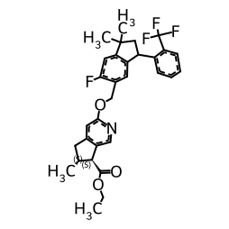 CCOC(=O)[C@@H]1c2cnc(OCc3cc4c(cc3F)C(C)(C)CC4c3ccccc3C(F)(F)F)cc2C[C@@H]1C